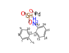 O=[SH](=O)[O][Pd].[CH2]c1ccccc1-c1ccccc1N